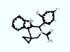 CC(=O)N1CC2(CC2)c2c([nH]c3ccccc23)C1c1ccc(F)cc1F